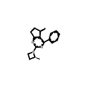 CC1CCc2nc(N3CC[C@@H]3C)nc(-c3ccccc3)c21